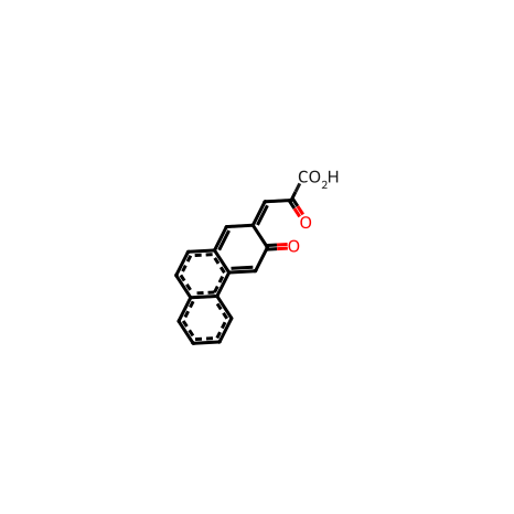 O=C(O)C(=O)C=C1C=c2ccc3ccccc3c2=CC1=O